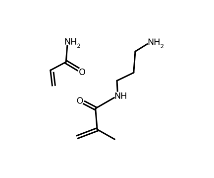 C=C(C)C(=O)NCCCN.C=CC(N)=O